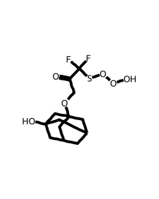 O=C(COC12CC3CC(CC(O)(C3)C1)C2)C(F)(F)SOOO